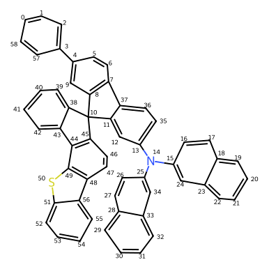 c1ccc(-c2ccc3c(c2)C2(c4cc(N(c5ccc6ccccc6c5)c5ccc6ccccc6c5)ccc4-3)c3ccccc3-c3c2ccc2c3sc3ccccc32)cc1